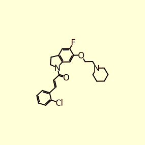 O=C(C=Cc1ccccc1Cl)N1CCc2cc(F)c(OCCN3CCCCC3)cc21